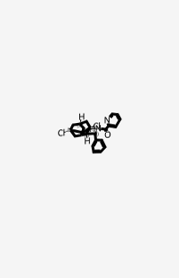 O=C(N[C@@H](c1ccccc1)[C@H]1C2C[C@H]3C[C@](Cl)(C2)C[C@@]1(Cl)C3)c1ccccn1